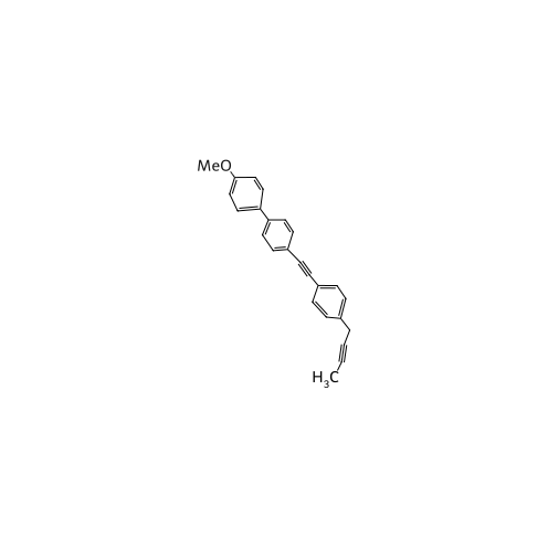 CC#CCc1ccc(C#Cc2ccc(-c3ccc(OC)cc3)cc2)cc1